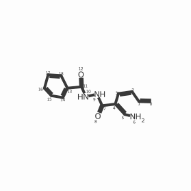 C=C/C=C\C(=C/N)C(=O)NNC(=O)c1ccccc1